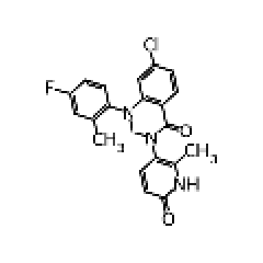 Cc1cc(F)ccc1N1CN(c2ccc(=O)[nH]c2C)C(=O)c2ccc(Cl)cc21